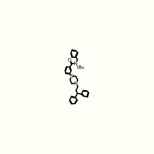 CC(C)(C)N(Cc1ccccc1)C(=O)c1cccc(N2CCN(CCC(c3ccccc3)c3ccccc3)CC2)c1